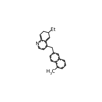 CCC1C=c2c(Cc3ccc4c(C)cccc4c3)ccnc2=CC1